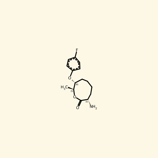 C[C@@H]1OC(=O)[C@@H](N)CCCC[C@H]1Oc1ccc(F)cc1